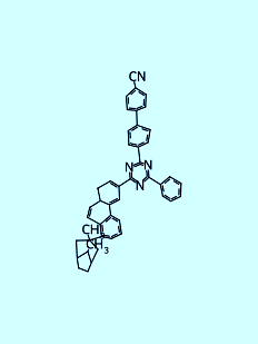 CC1C2CCC1CC(C)(c1cccc3c1C=CC1CC=C(c4nc(-c5ccccc5)nc(-c5ccc(-c6ccc(C#N)cc6)cc5)n4)C=C31)C2